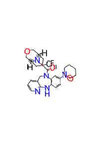 O=C(C1C[C@H]2COC[C@@H](C1)N2CC(F)(F)F)N1Cc2cccnc2Nc2ccc(N3CC4CCC3CO4)cc21